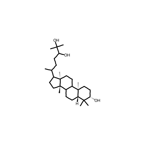 CC(CCC(O)C(C)(C)O)C1CC[C@@]2(C)C3CC[C@H]4C(C)(C)[C@@H](O)CC[C@]4(C)C3CC[C@]12C